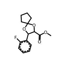 COC(=O)C1OC2(CCCC2)OC1c1ccccc1F